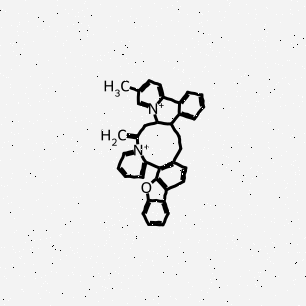 C=C1CC2C(CCc3ccc4c(oc5ccccc54)c3-c3cccc[n+]31)c1ccccc1-c1ccc(C)c[n+]12